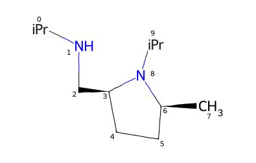 CC(C)NC[C@@H]1CC[C@H](C)N1C(C)C